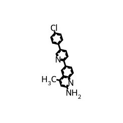 Cc1cc(N)nc2ccc(-c3ccc(-c4ccc(Cl)cc4)cn3)cc12